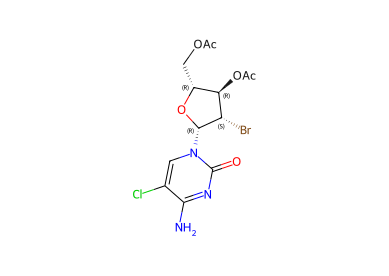 CC(=O)OC[C@H]1O[C@@H](n2cc(Cl)c(N)nc2=O)[C@@H](Br)[C@@H]1OC(C)=O